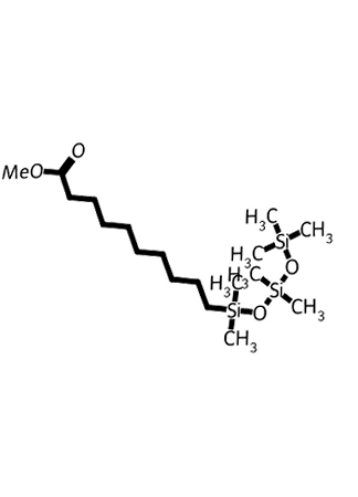 COC(=O)CCCCCCCCC[Si](C)(C)O[Si](C)(C)O[Si](C)(C)C